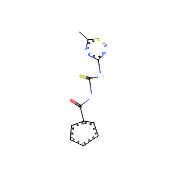 Cc1nc(NC(=S)NC(=O)c2ccccc2)ns1